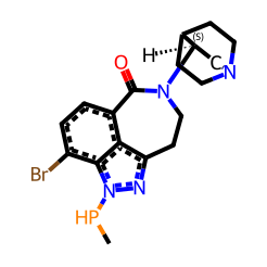 CPn1nc2c3c(ccc(Br)c31)C(=O)N([C@@H]1CN3CCC1CC3)CC2